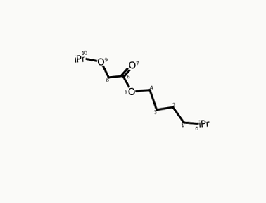 CC(C)CCCCOC(=O)COC(C)C